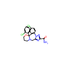 NC(=O)c1nc2n(n1)-c1ccc(Cl)cc1C1(c3ccccc3Cl)OCCCN1C2